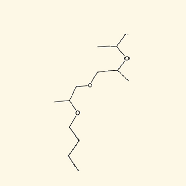 [CH2]C(C)OC(C)COCC(C)OCCCC